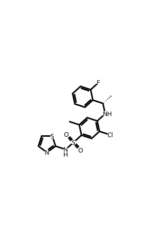 Cc1cc(N[C@@H](C)c2ccccc2F)c(Cl)cc1S(=O)(=O)Nc1nccs1